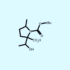 CC1CCC(C(=O)O)(C(C)O)N1C(=O)OC(C)(C)C